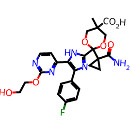 CC1(C(=O)O)COC(c2nc(-c3ccc(F)cc3)c(-c3ccnc(OCCO)n3)[nH]2)(C2(C(N)=O)CC2)OC1